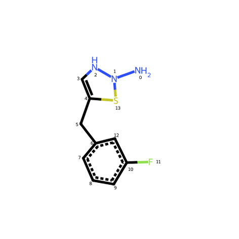 NN1NC=C(Cc2cccc(F)c2)S1